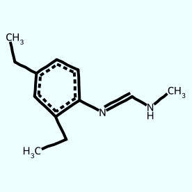 CCc1ccc(N=CNC)c(CC)c1